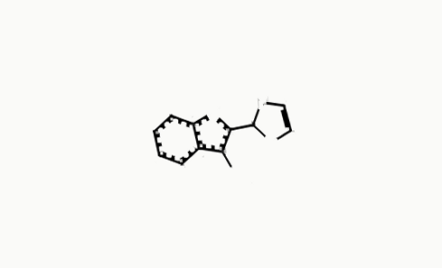 Pc1c(C2NC=CO2)oc2ccccc12